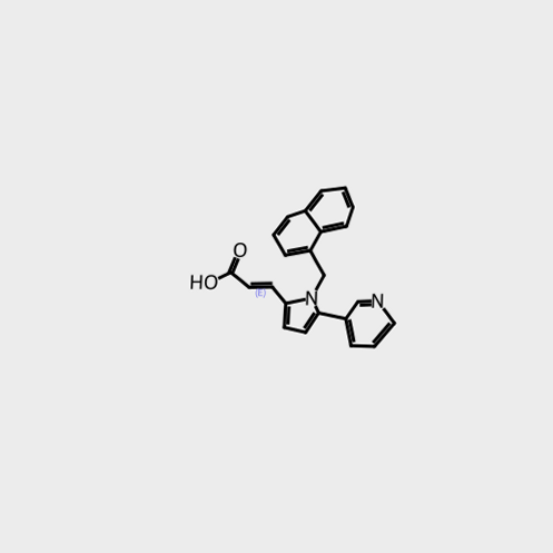 O=C(O)/C=C/c1ccc(-c2cccnc2)n1Cc1cccc2ccccc12